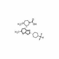 Cc1cc([C@H]2CN(C(=O)O)CC[C@@H]2C)n2nc([C@H]3CC[C@H](C(F)(F)F)CC3)cc2n1